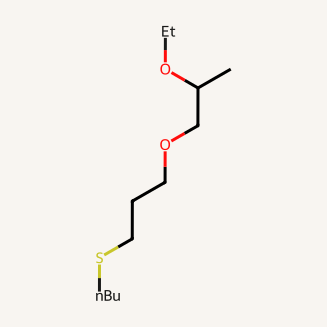 CCCCSCCCOCC(C)OCC